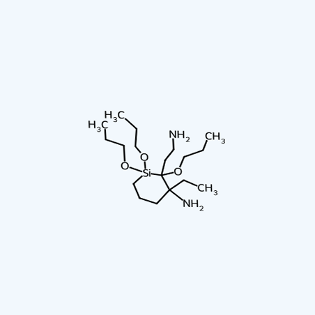 CCCOC1(CCN)C(N)(CC)CCC[Si]1(OCCC)OCCC